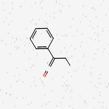 O=C=C(CC(=O)O)c1ccccc1